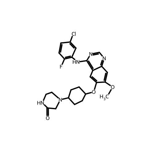 COc1cc2ncnc(Nc3cc(Cl)ccc3F)c2cc1OC1CCC(N2CCNC(=O)C2)CC1